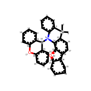 C[Si]1(C)c2ccccc2N(B2c3ccccc3Oc3ccccc32)c2c1ccc1c2oc2ccccc21